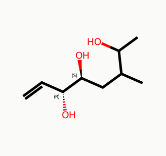 C=C[C@@H](O)[C@@H](O)CC(C)C(C)O